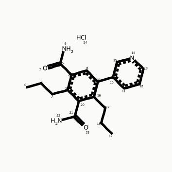 CCCc1c(C(N)=O)cc(-c2cccnc2)c(CCC)c1C(N)=O.Cl